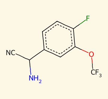 N#CC(N)c1ccc(F)c(OC(F)(F)F)c1